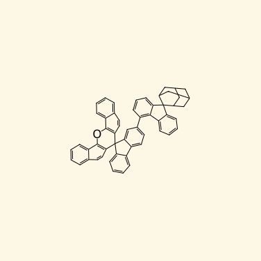 c1ccc2c(c1)-c1ccc(-c3cccc4c3-c3ccccc3C43C4CC5CC(C4)CC3C5)cc1C21c2ccc3ccccc3c2Oc2c1ccc1ccccc21